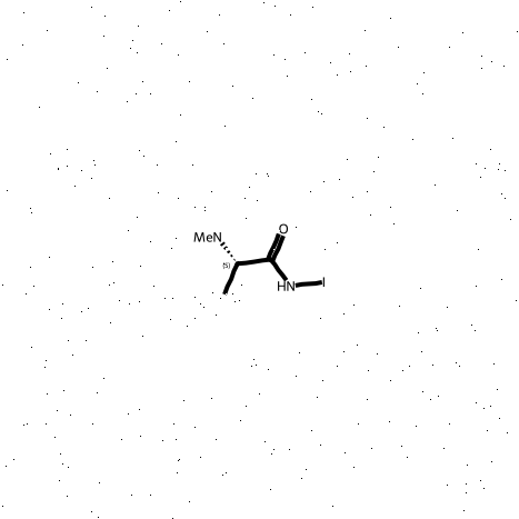 CN[C@@H](C)C(=O)NI